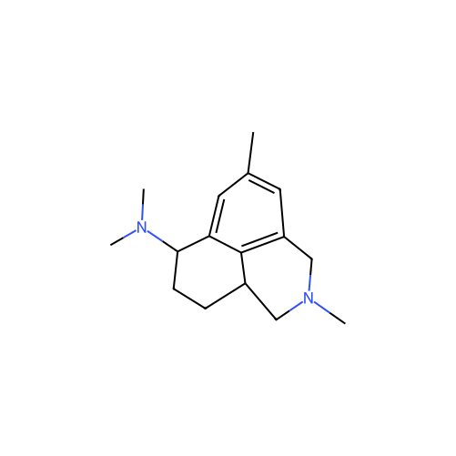 Cc1cc2c3c(c1)C(N(C)C)CCC3CN(C)C2